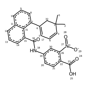 CC1(C)C=CC=C(c2cccc3cccc(C(=O)Nc4ccc(C(=O)O)c([N+](=O)[O-])c4)c23)C1